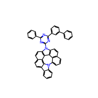 c1ccc(-c2cccc(-c3nc(-c4ccccc4)nc(-n4c5ccc6cccc7c6c5c5c6c(ccc8c9ccccc9n7c86)ccc54)n3)c2)cc1